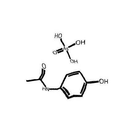 CC(=O)Nc1ccc(O)cc1.O=[As](O)(O)O